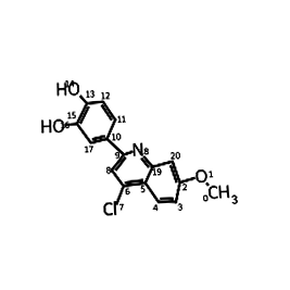 COc1ccc2c(Cl)cc(-c3ccc(O)c(O)c3)nc2c1